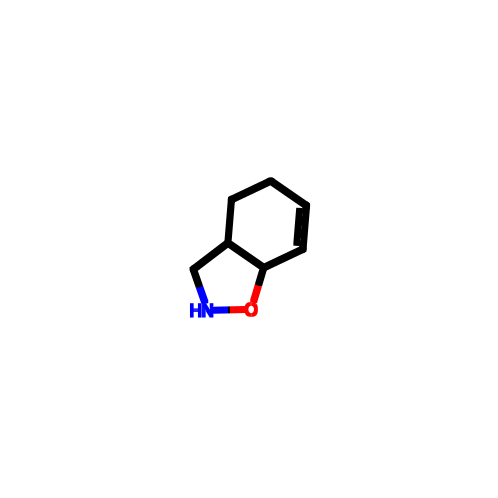 C1=CC2ONCC2CC1